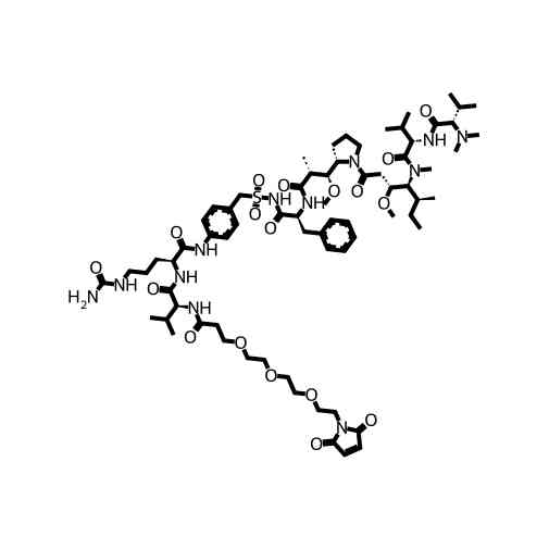 CC[C@H](C)[C@@H]([C@@H](CC(=O)N1CCC[C@H]1[C@H](OC)[C@@H](C)C(=O)N[C@@H](Cc1ccccc1)C(=O)NS(=O)(=O)Cc1ccc(NC(=O)[C@H](CCCNC(N)=O)NC(=O)[C@@H](NC(=O)CCOCCOCCOCCN2C(=O)C=CC2=O)C(C)C)cc1)OC)N(C)C(=O)[C@@H](NC(=O)[C@H](C(C)C)N(C)C)C(C)C